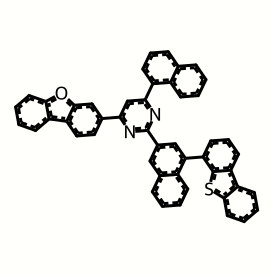 c1ccc2c(-c3cc(-c4ccc5c(c4)oc4ccccc45)nc(-c4cc(-c5cccc6c5sc5ccccc56)c5ccccc5c4)n3)cccc2c1